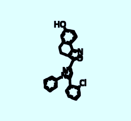 Oc1ccc2c(c1)CCc1c-2noc1-c1cc(-c2ccccc2Cl)n(-c2ccccc2)n1